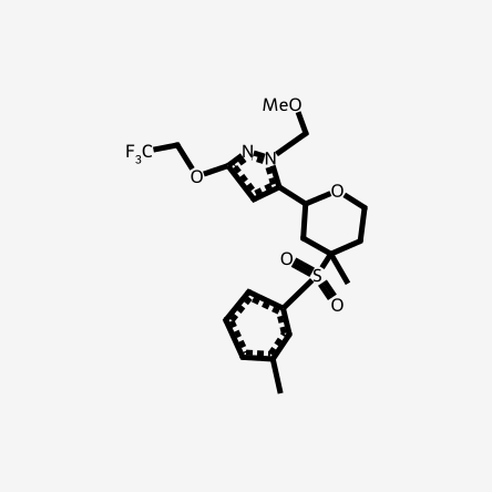 COCn1nc(OCC(F)(F)F)cc1C1CC(C)(S(=O)(=O)c2cccc(C)c2)CCO1